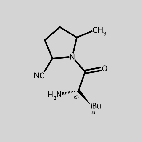 CC[C@H](C)[C@H](N)C(=O)N1C(C)CCC1C#N